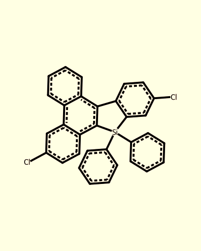 Clc1ccc2c(c1)[Si](c1ccccc1)(c1ccccc1)c1c-2c2ccccc2c2cc(Cl)ccc12